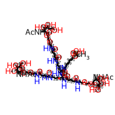 CC(=O)NC1CC(OCCOCCNC(=O)CCCC(=O)N[C@@H](CCCCNC(=O)CCCC(=O)NCCOCCOC2OC(CO)C(O)C(O)C2NC(C)=O)C(=O)N[C@@H](CCCCNC(=O)CCCC(=O)NCCOCCOC2OC(CO)C(O)C(O)C2NC(C)=O)C(=O)NCCCCCCOP(C)(=O)O)OC(CO)C(O)C1O